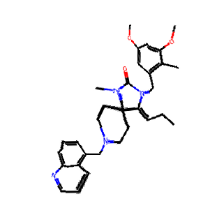 CC/C=C1\N(Cc2cc(OC)cc(OC)c2C)C(=O)N(C)C12CCN(Cc1cccc3ncccc13)CC2